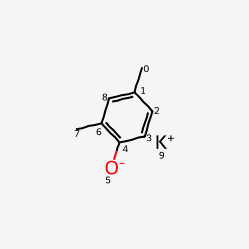 Cc1ccc([O-])c(C)c1.[K+]